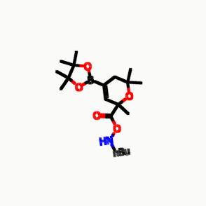 CCCCNOC(=O)C1(C)C=C(B2OC(C)(C)C(C)(C)O2)CC(C)(C)O1